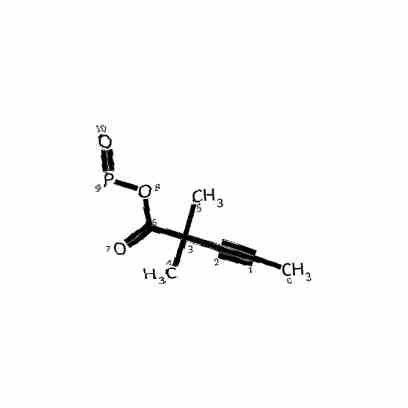 CC#CC(C)(C)C(=O)OP=O